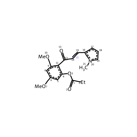 CCC(=O)Oc1cc(OC)cc(OC)c1C(=O)/C=C/c1cccn1C